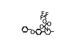 CC1CCC(c2ccc(OCc3ccccc3)cc2)N(C(=O)C(=O)OCC(F)(F)F)C1